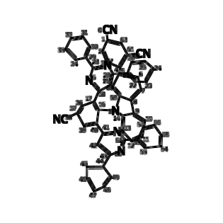 N#Cc1ccc(-c2ccc3c4ccccc4n(-c4c(-c5cc(-c6ccccc6)nc(-c6ccccc6)n5)cc(C#N)cc4-c4cc(-c5ccccc5)nc(-c5ccccc5)n4)c3c2)c(C#N)c1